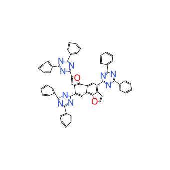 c1ccc(-c2nc(-c3ccccc3)nc(-c3cc4c(-c5nc(-c6ccccc6)nc(-c6ccccc6)n5)cc5c(cc(-c6nc(-c7ccccc7)nc(-c7ccccc7)n6)c6ccoc65)c4o3)n2)cc1